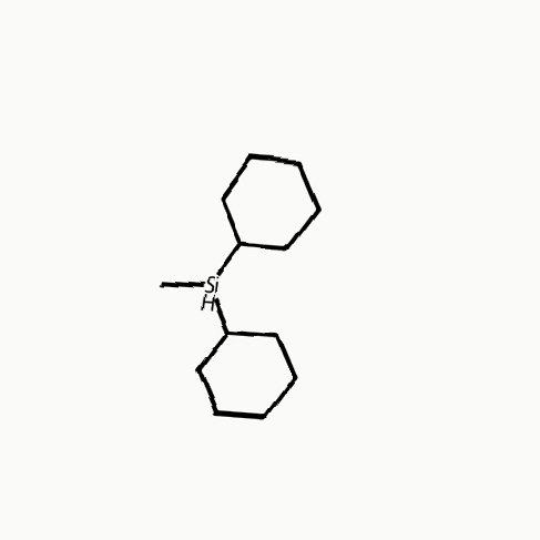 C[SiH](C1CCCCC1)C1CCCCC1